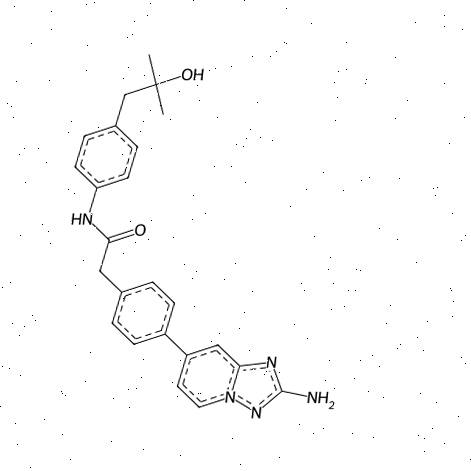 CC(C)(O)Cc1ccc(NC(=O)Cc2ccc(-c3ccn4nc(N)nc4c3)cc2)cc1